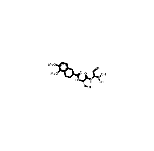 COc1ccc2c(c1OC)CCC(C(=O)N[C@@H](CO)C(=O)NC(CC(C)C)B(O)O)C2